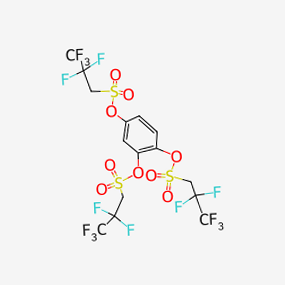 O=S(=O)(CC(F)(F)C(F)(F)F)Oc1ccc(OS(=O)(=O)CC(F)(F)C(F)(F)F)c(OS(=O)(=O)CC(F)(F)C(F)(F)F)c1